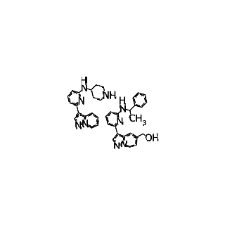 CC(Nc1cccc(-c2cnn3ccc(CO)cc23)n1)c1ccccc1.c1cc(NC2CCNCC2)nc(-c2cnn3ccccc23)c1